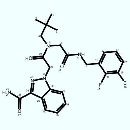 CC(C)(C)CN(CC(=O)NCc1cccc(Cl)c1F)C(=O)Cn1nc(C(N)=O)c2ccccc21